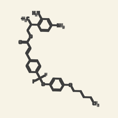 [CH2]C(COC(=O)/C=C/c1ccc(C(F)(F)Oc2ccc(OCCCCC(F)(F)F)cc2)cc1)c1ccc(N)cc1N